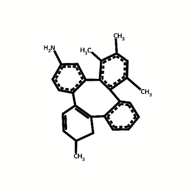 Cc1cc(C)c2c(c1C)-c1cc(N)ccc1C1=C(CC(C)C=C1)c1ccccc1-2